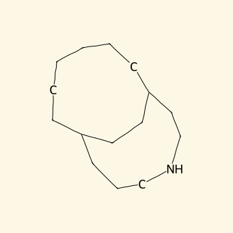 C1CCCC2CCNCCCC(CC1)CC2